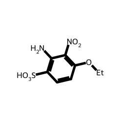 CCOc1ccc(S(=O)(=O)O)c(N)c1[N+](=O)[O-]